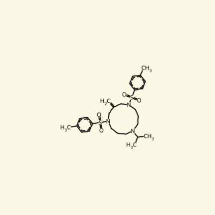 C=C1CN(S(=O)(=O)c2ccc(C)cc2)CCCN(C(C)C)CCCN(S(=O)(=O)c2ccc(C)cc2)C1